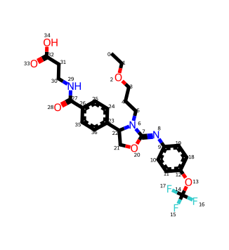 CCOCCCN1/C(=N/c2ccc(OC(F)(F)F)cc2)OCC1c1ccc(C(=O)NCCC(=O)O)cc1